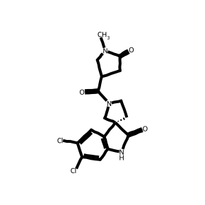 CN1CC(C(=O)N2CC[C@]3(C2)C(=O)Nc2cc(Cl)c(Cl)cc23)CC1=O